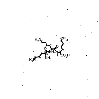 NCCCCC(NC(=O)C(CCCCN)NC(=O)C(N)CCCN)C(=O)O